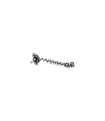 CCO[Si](CCCCCCCCCCCCCCCCOCC1CO1)(OCC)OCC